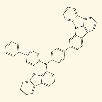 c1ccc(-c2ccc(N(c3ccc(-c4ccc5c6cccc7c8ccccc8n(c5c4)c76)cc3)c3cccc4c3oc3ccccc34)cc2)cc1